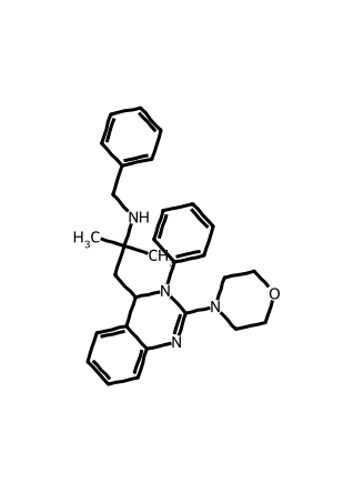 CC(C)(CC1c2ccccc2N=C(N2CCOCC2)N1c1ccccc1)NCc1ccccc1